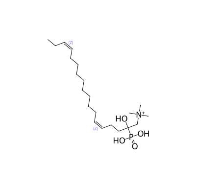 CC/C=C\CCCCCCCC/C=C\CCC(O)(C[N+](C)(C)C)P(=O)(O)O